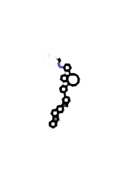 C=C/C=C\c1cccc(-c2ccccccc(-c3cccc(-c4ccc5sc6cc7c(ccc8c9ccccc9sc78)cc6c5c4)c3)c3ccccc23)c1